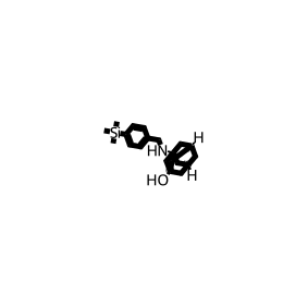 C[Si](C)(C)c1ccc(CN[C@]23C[C@@H]4C[C@@H](C[C@](O)(C4)C2)C3)cc1